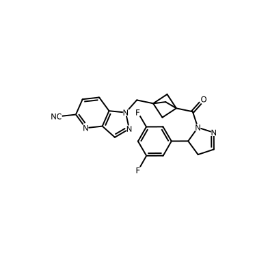 N#Cc1ccc2c(cnn2CC23CC(C(=O)N4N=CCC4c4cc(F)cc(F)c4)(C2)C3)n1